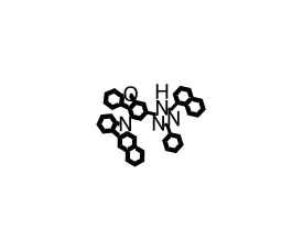 c1ccc(C2=NC(c3cccc4ccccc34)NC(c3cc(-n4c5ccccc5c5cc6ccccc6cc54)c4c(c3)oc3ccccc34)=N2)cc1